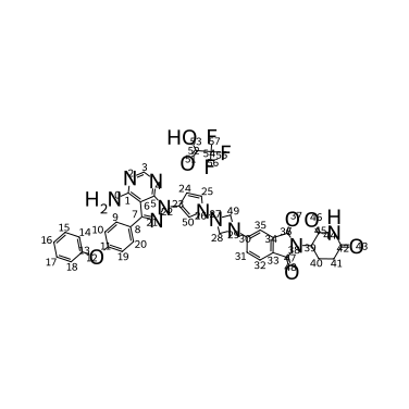 Nc1ncnc2c1c(-c1ccc(Oc3ccccc3)cc1)nn2-c1ccn(N2CN(c3ccc4c(c3)C(=O)N(C3CCC(=O)NC3=O)C4=O)C2)c1.O=C(O)C(F)(F)F